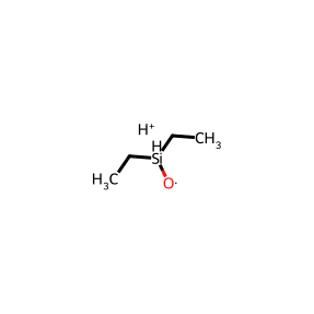 CC[SiH]([O])CC.[H+]